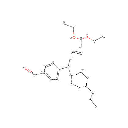 C=C.CCCC1CCC(C(C)c2ccc(C=O)cc2)CC1.CCOC(C)OCC